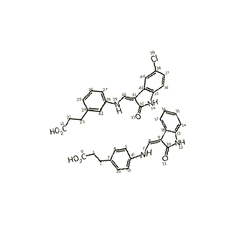 O=C(O)CCc1ccc(NC=C2C(=O)Nc3ccccc32)cc1.O=C(O)CCc1cccc(NC=C2C(=O)Nc3ccc(Cl)cc32)c1